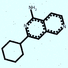 Nc1nc(C2CCCCC2)cc2cnccc12